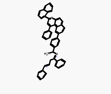 NC(/N=C(\C/C=C/c1ccccc1)c1ccccc1)c1ccc(-c2ccc3ccc4nc(-c5cccc6ccccc56)cc(-c5ccccc5)c4c3c2)cc1